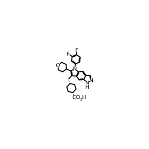 O=C(O)[C@H]1CC[C@@H](Cc2c(C3CCOCC3)n(-c3ccc(F)c(F)c3)c3cc4cn[nH]c4cc23)CC1